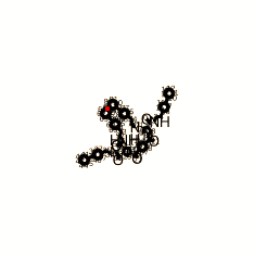 O=C(NCCc1ccc(-c2ccccc2)cc1)[C@H]1CN(C(=O)c2ccc(C(=O)N3C[C@H](C(=O)NCCc4ccc(-c5ccccc5)cc4)[C@@H](C(=O)NCCc4ccc(-c5ccccc5)cc4)C3)cc2)C[C@@H]1CNCCc1ccc(-c2ccccc2)cc1